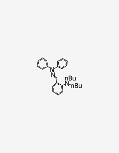 CCCCN(CCCC)c1ccccc1C=NN(c1ccccc1)c1ccccc1